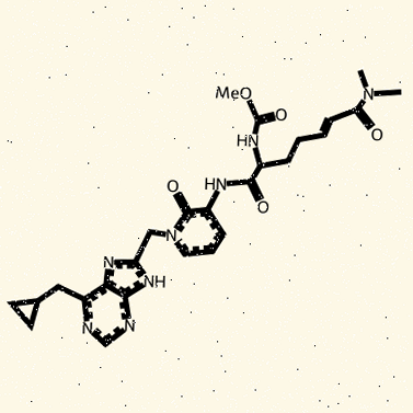 COC(=O)NC(CCC=CC(=O)N(C)C)C(=O)Nc1cccn(Cc2nc3c(CC4CC4)ncnc3[nH]2)c1=O